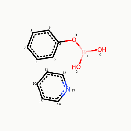 OB(O)Oc1ccccc1.c1ccncc1